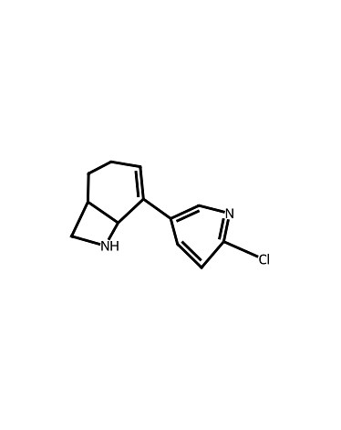 Clc1ccc(C2=CCCC3CNC23)cn1